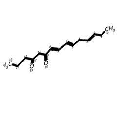 CCC=CCC=CC=CC(=O)CC(=O)CCC